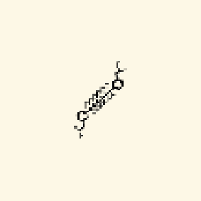 FC(F)=Cc1cccc(C(F)(F)C(F)(F)C(F)(F)C(F)(F)C(F)(F)C(F)(F)c2cccc(C=C(F)F)c2)c1